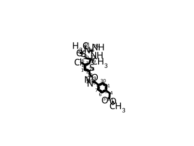 COC(=O)Cc1ccc(-c2nnc(-c3cc(Cl)c([C@]4(C)C[S+]([O-])N(C)C(=N)N4)s3)o2)cc1